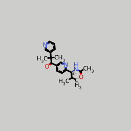 CC(=O)N[C@H](c1ccc(C(=O)C(C)(C)c2cccnc2)cn1)C(C)C